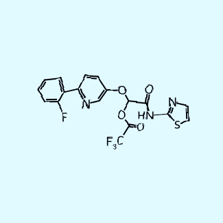 O=C(Nc1nccs1)C(OC(=O)C(F)(F)F)Oc1ccc(-c2ccccc2F)nc1